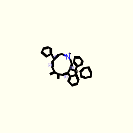 C=C1/C=C\C(c2ccccc2)=C/CN(C)C/C=C2\C(=C/C1=C)c1ccccc1[C@]2(C1=CC=CCC=C1)c1ccccc1